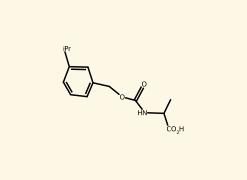 CC(NC(=O)OCc1cccc(C(C)C)c1)C(=O)O